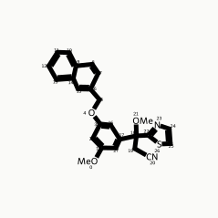 COc1cc(OCc2ccc3ccccc3c2)cc(C(CC#N)(OC)c2nccs2)c1